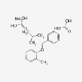 CC(C)C.Cc1ccccc1OCc1ccccc1.N.O=C(O)O.O=C(O)O